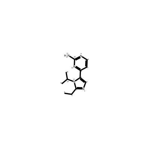 CCc1ncc(-c2ccnc(N)n2)n1C(C)C